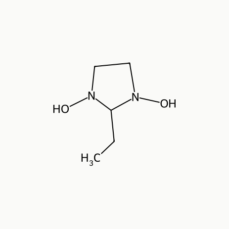 CCC1N(O)CCN1O